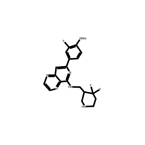 CNc1ccc(-c2cc3nccnc3c(NCC3CNCCC3(F)F)n2)cc1F